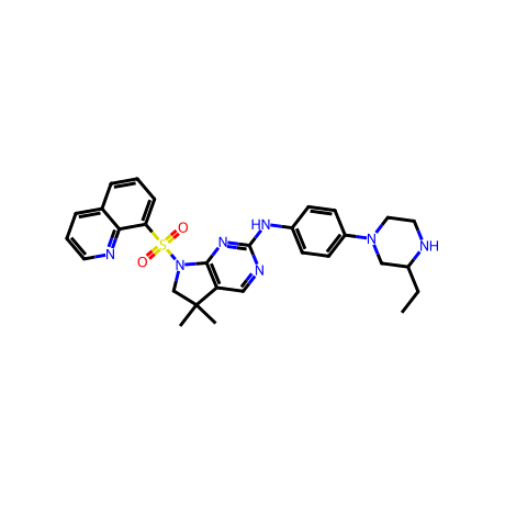 CCC1CN(c2ccc(Nc3ncc4c(n3)N(S(=O)(=O)c3cccc5cccnc35)CC4(C)C)cc2)CCN1